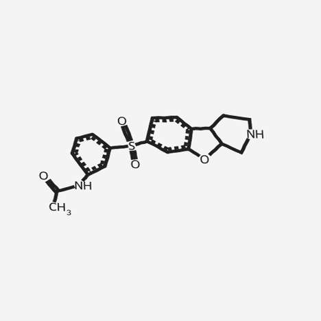 CC(=O)Nc1cccc(S(=O)(=O)c2ccc3c(c2)OC2CNCCC32)c1